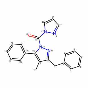 Cc1c(Cc2ccccc2)nn(C(=O)n2cccn2)c1-c1ccccc1